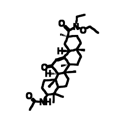 CCON(CC)C(=O)[C@@]1(C)CC[C@]2(C)CC[C@]3(C)C(=CC(=O)[C@@H]4[C@@]5(C)CC[C@H](NC(C)=O)C(C)(C)C5CC[C@]43C)[C@@H]2C1